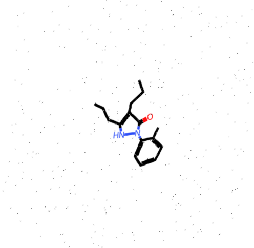 CCCc1[nH]n(-c2ccccc2C)c(=O)c1CCC